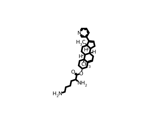 C[C@]12CC[C@H](OC(=O)C(N)CCCCN)CC1=CC[C@@H]1[C@@H]2CC[C@]2(C)C(c3cccnc3)=CC[C@@H]12